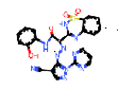 N#Cc1cnn(-c2ncccn2)c1N=NC(C(=O)Nc1ccccc1O)C1=Nc2ccccc2S(=O)(=O)N1